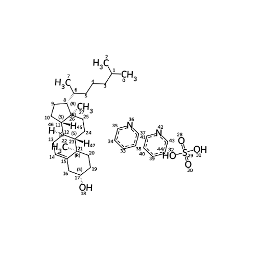 CC(C)CCCC(C)[C@H]1CC[C@H]2[C@@H]3CC=C4C[C@@H](O)CC[C@]4(C)[C@H]3CC[C@]12C.O=S(=O)(O)O.c1ccncc1.c1ccncc1